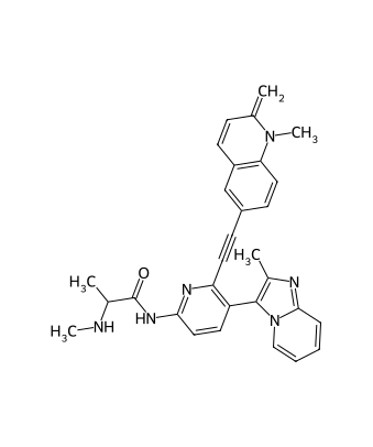 C=C1C=Cc2cc(C#Cc3nc(NC(=O)C(C)NC)ccc3-c3c(C)nc4ccccn34)ccc2N1C